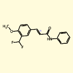 COc1ccc(/C=C/C(=O)Nc2ccccc2)cc1C(F)F